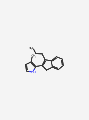 CCCC1=C(c2[nH]ccc2C)[CH]c2ccccc21